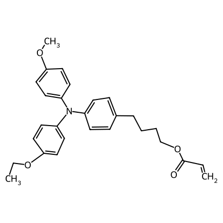 C=CC(=O)OCCCCc1ccc(N(c2ccc(OC)cc2)c2ccc(OCC)cc2)cc1